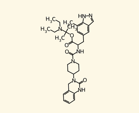 CCN(CC)C(C)(C)OC(=O)C(Cc1cc(C)c2[nH]ncc2c1)NC(=O)N1CCC(N2Cc3ccccc3NC2=O)CC1